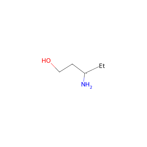 CC[C](N)CCO